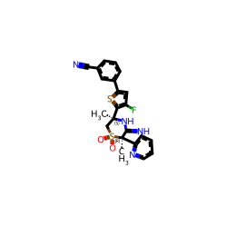 C[C@@]1(c2ccccn2)C(=N)N[C@](C)(c2sc(-c3cccc(C#N)c3)cc2F)CS1(=O)=O